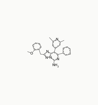 COc1ccccc1Cc1nc2c(-c3cc(C)nc(C)c3)c(-c3ccccc3)nc(N)n2n1